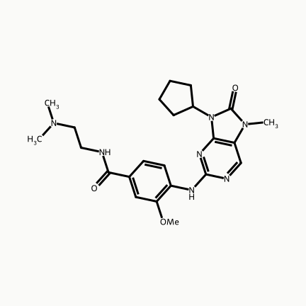 COc1cc(C(=O)NCCN(C)C)ccc1Nc1ncc2c(n1)n(C1CCCC1)c(=O)n2C